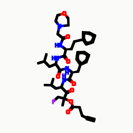 C#CCCC(=O)OC(C)(CI)C(=O)C(CC(C)C)NC(=O)[C@H](Cc1ccccc1)NC(=O)C(CC(C)C)NC(=O)[C@H](CCc1ccccc1)NC(=O)CN1CCOCC1